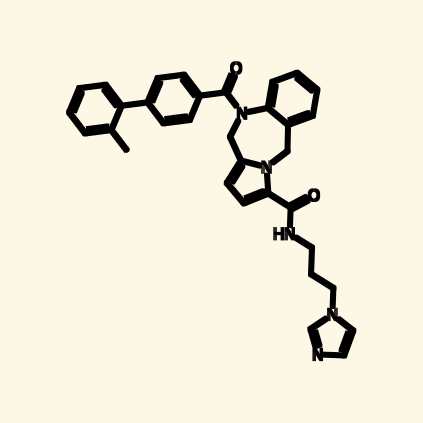 Cc1ccccc1-c1ccc(C(=O)N2Cc3ccc(C(=O)NCCCn4ccnc4)n3Cc3ccccc32)cc1